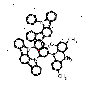 Cc1ccc(B(c2cc(-n3c4ccccc4c4c3ccc3c5ccccc5n(-c5ccccc5)c34)cc(-n3c4ccccc4c4ccc5c6ccccc6n(-c6ccccc6)c5c43)c2)c2c(C)cc(C)cc2C)c(C)c1